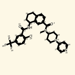 CN(C(=O)c1ccc2c(c1)C(NC(=O)c1cc(C(F)(F)F)ccc1Cl)CCC2)C1CCN(c2ccncc2)CC1